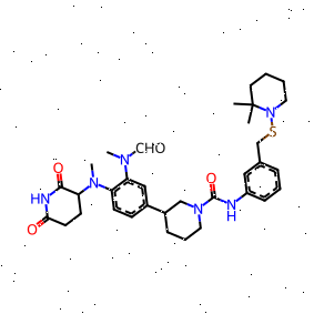 CN(C=O)c1cc(C2CCCN(C(=O)Nc3cccc(CSN4CCCCC4(C)C)c3)C2)ccc1N(C)C1CCC(=O)NC1=O